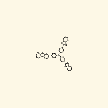 c1ccc2oc(-c3ccc(N(c4ccc(-c5ccc6c(n5)sc5ncccc56)cc4)c4ccc(-c5nc6ccccc6o5)cc4)cc3)nc2c1